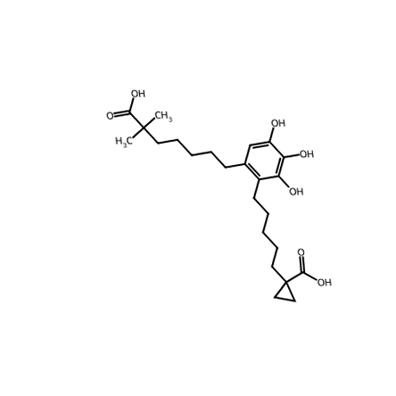 CC(C)(CCCCCc1cc(O)c(O)c(O)c1CCCCCC1(C(=O)O)CC1)C(=O)O